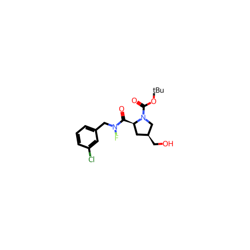 CC(C)(C)OC(=O)N1C[C@@H](CO)C[C@H]1C(=O)N(F)Cc1cccc(Cl)c1